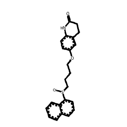 O=C1CCc2cc(OCCCC[S+]([O-])c3cccc4ccccc34)ccc2N1